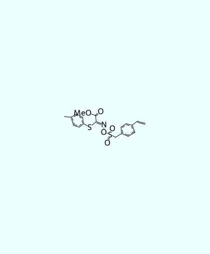 C=Cc1ccc(CS(=O)(=O)O/N=C(\Sc2ccc(C)cc2)C(=O)OC)cc1